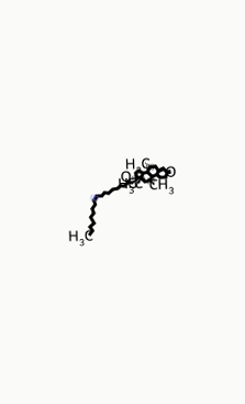 CCCCCCCC/C=C\CCCCCCCC(=O)O[C@H]1CCC2C3C(C4CCC(=O)C=C4C[C@H]3C)[C@@H](C)C[C@@]21C